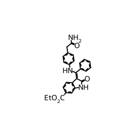 CCOC(=O)c1ccc2c(c1)NC(=O)/C2=C(/Nc1ccc(CC(N)=O)cc1)c1ccccc1